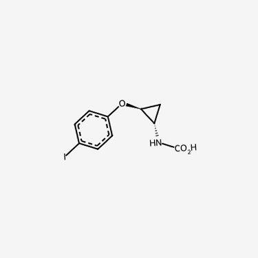 O=C(O)N[C@H]1C[C@@H]1Oc1ccc(I)cc1